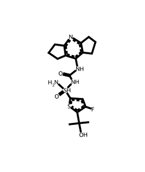 CC(C)(O)c1sc([SH](N)(=O)NC(=O)Nc2c3c(nc4c2CCC4)CCC3)cc1F